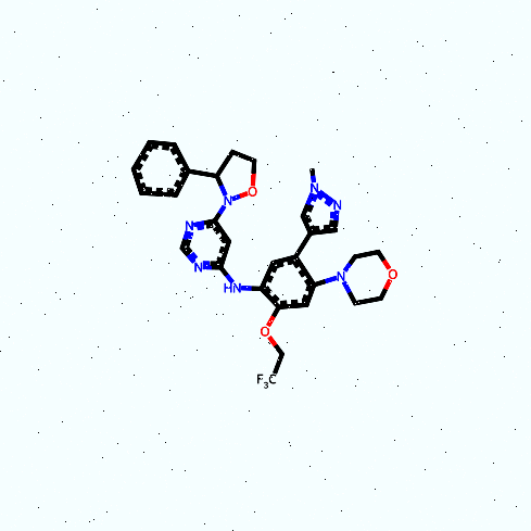 Cn1cc(-c2cc(Nc3cc(N4OCCC4c4ccccc4)ncn3)c(OCC(F)(F)F)cc2N2CCOCC2)cn1